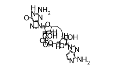 Nc1nc2c(ncn2[C@@H]2OC3CCC[C@H]4[C@@H](O)[C@H](n5cnc6c(N)nccc65)O[C@@H]4COP(=O)(O)O[C@@H]2[C@@H]3O)c(=O)[nH]1